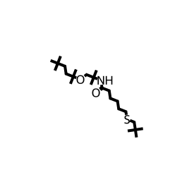 CC(C)(C)CCC(C)(C)OCC(C)(C)NC(=O)CCCCCSCC(C)(C)C